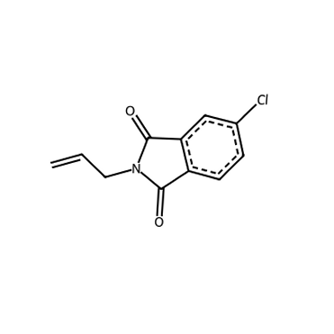 C=CCN1C(=O)c2ccc(Cl)cc2C1=O